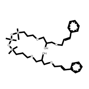 C[Si](C)(CCCOCC(O)COC/C=C/c1ccccc1)O[Si](C)(C)O[Si](C)(C)CCCOCC(O)COC/C=C/c1ccccc1